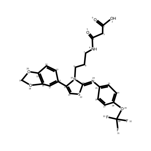 O=C(O)CC(=O)NCCCn1c(-c2ccc3c(c2)OCO3)cs/c1=N\c1ccc(OC(F)(F)F)cc1